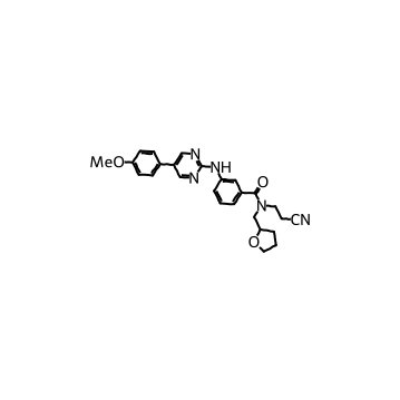 COc1ccc(-c2cnc(Nc3cccc(C(=O)N(CCC#N)CC4CCCO4)c3)nc2)cc1